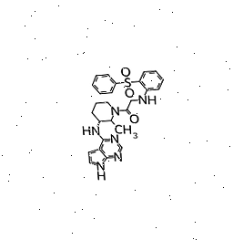 CC1C(Nc2ncnc3[nH]ccc23)CCCN1C(=O)CNc1ccccc1S(=O)(=O)c1ccccc1